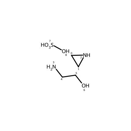 C1CN1.NCCO.O=S(=O)(O)O